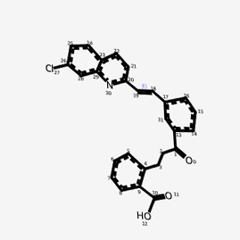 O=C(CCc1ccccc1C(=O)O)c1cccc(/C=C/c2ccc3ccc(Cl)cc3n2)c1